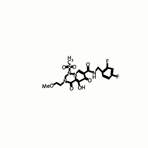 COCCN1CN(S(C)(=O)=O)n2cc(C(=O)NCc3ccc(F)cc3F)c(=O)c(O)c2C1=O